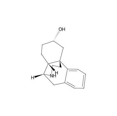 O[C@H]1CC[C@H]2[C@H]3Cc4ccccc4[C@@]2(CCN3)C1